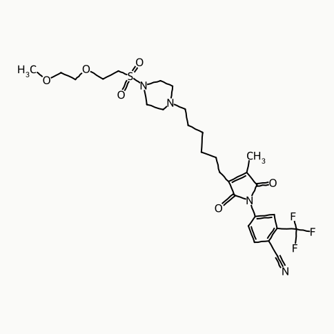 COCCOCCS(=O)(=O)N1CCN(CCCCCCC2=C(C)C(=O)N(c3ccc(C#N)c(C(F)(F)F)c3)C2=O)CC1